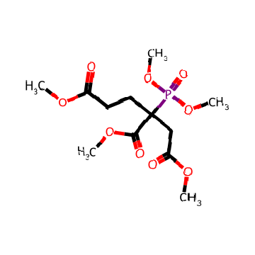 COC(=O)CCC(CC(=O)OC)(C(=O)OC)P(=O)(OC)OC